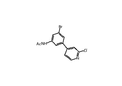 CC(=O)Nc1cc(Br)cc(-c2ccnc(Cl)c2)c1